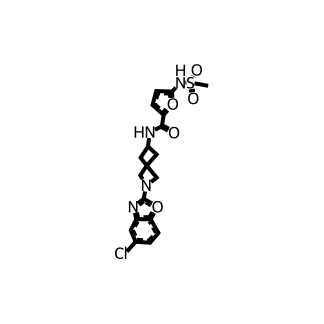 CS(=O)(=O)Nc1ccc(C(=O)NC2CC3(C2)CN(c2nc4cc(Cl)ccc4o2)C3)o1